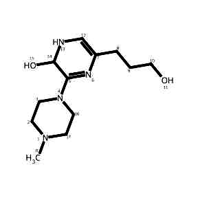 CN1CCN(C2=NC(CCCO)=CNC2O)CC1